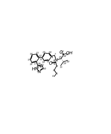 CCCCC(=O)N(Cc1ccc(-c2ccccc2-c2ncn[nH]2)cc1)[C@H](C(=O)O)C(C)C